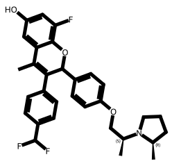 CC1=C(c2ccc(C(F)F)cc2)C(c2ccc(OC[C@H](C)N3CCC[C@H]3C)cc2)Oc2c(F)cc(O)cc21